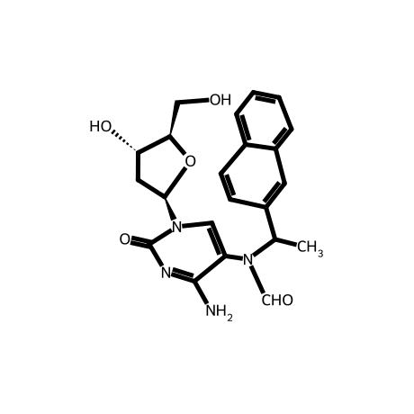 CC(c1ccc2ccccc2c1)N(C=O)c1cn([C@H]2C[C@H](O)[C@@H](CO)O2)c(=O)nc1N